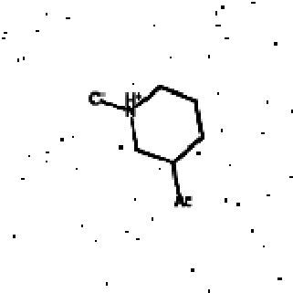 [CH2-][NH+]1CCCC(C(C)=O)C1